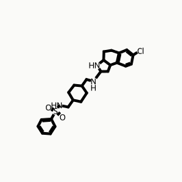 O=S(=O)(NCC1CCC(CNC2CC3c4ccc(Cl)cc4CCC3N2)CC1)c1ccccc1